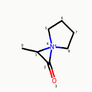 CC1C(=O)[N+]12CCCC2